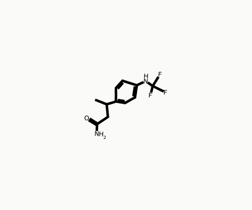 CC(CC(N)=O)c1ccc(NC(F)(F)F)cc1